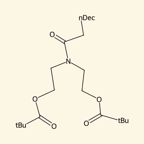 CCCCCCCCCCCC(=O)N(CCOC(=O)C(C)(C)C)CCOC(=O)C(C)(C)C